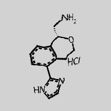 Cl.NC[C@@H]1OCCc2c(-c3ncc[nH]3)cccc21